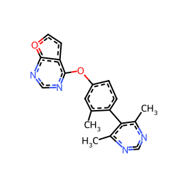 Cc1cc(Oc2ncnc3occc23)ccc1-c1c(C)ncnc1C